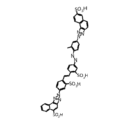 Cc1cc(-n2n3c4ccc5cc(S(=O)(=O)O)ccc5c4n23)ccc1N=Nc1ccc(C=Cc2ccc(-n3n4c5cc(S(=O)(=O)O)c6ccccc6c5n34)cc2S(=O)(=O)O)c(S(=O)(=O)O)c1